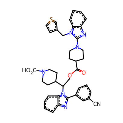 N#Cc1cccc(-c2nc3ccccc3n2C(COC(=O)C2CCN(c3nc4ccccc4n3Cc3ccsc3)CC2)C2CCN(C(=O)O)CC2)c1